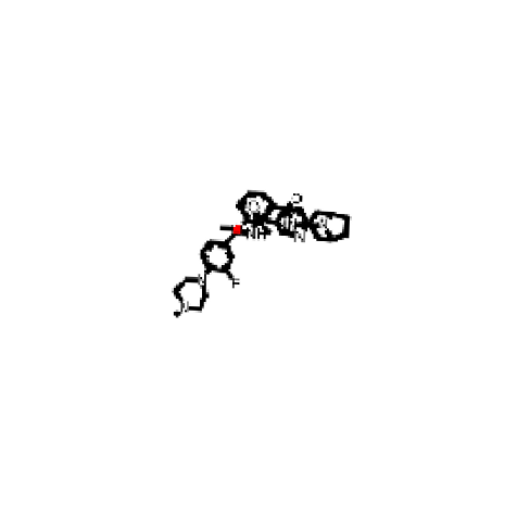 COc1cccc(C(=O)NC2CC3CCC(C2)N3c2ccc(C(=O)NCc3ccc(N4CCN(C)CC4)c(F)c3)cn2)c1C